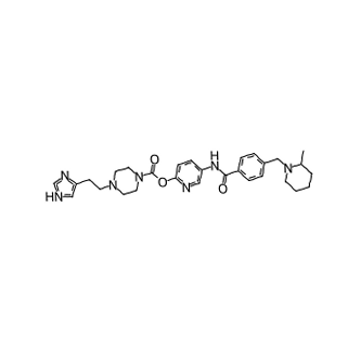 CC1CCCCN1Cc1ccc(C(=O)Nc2ccc(OC(=O)N3CCN(CCc4c[nH]cn4)CC3)nc2)cc1